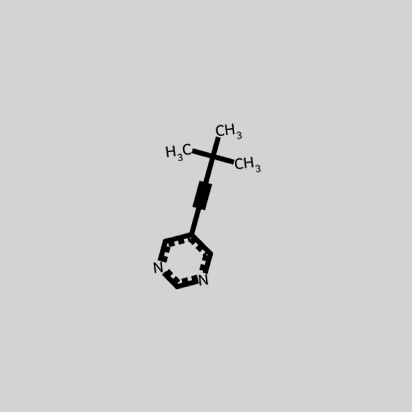 CC(C)(C)C#Cc1cncnc1